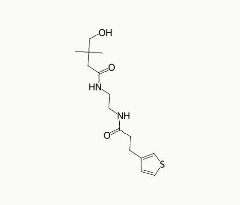 CC(C)(CO)CC(=O)NCCNC(=O)CCc1ccsc1